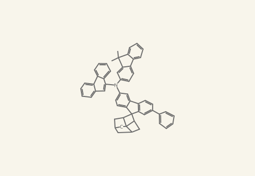 CC1(C)c2ccccc2-c2ccc(N(c3ccc4c(c3)-c3ccc(-c5ccccc5)cc3C43C4CC5CC6CC3C64C5)c3cc4ccccc4c4ccccc34)cc21